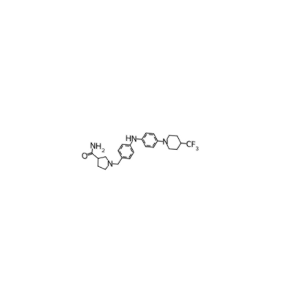 NC(=O)C1CCN(Cc2ccc(Nc3ccc(N4CCC(C(F)(F)F)CC4)cc3)cc2)C1